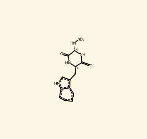 CCCCN[C@@H]1NC(=O)[C@@H](Cc2c[nH]c3ccccc23)NC1=O